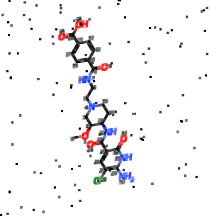 CO[C@H]1CN(CCNC(=O)c2ccc(C(=O)O)cc2)CC[C@H]1NC(=O)c1cc(Cl)c(N)[nH]c1=O